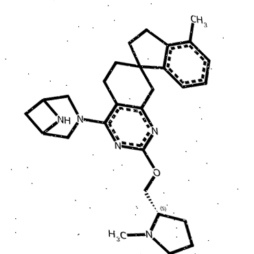 Cc1cccc2c1CCC21CCc2c(nc(OC[C@@H]3CCCN3C)nc2N2CC3CC(C2)N3)C1